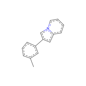 Cc1cccc(-c2cc3ccccn3c2)c1